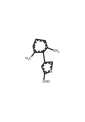 Cc1cccc(C)c1-c1csc(C=O)c1